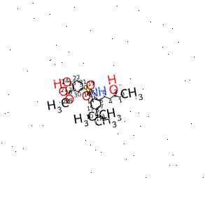 CCC(O)CCc1cc(C(C)(C)C)ccc1NS(=O)(=O)c1ccc(O)c(C(=O)OC)c1